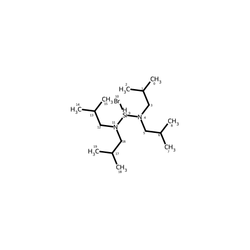 CC(C)CN(CC(C)C)[SiH](Br)N(CC(C)C)CC(C)C